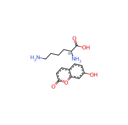 NCCCC[C@H](N)C(=O)O.O=c1ccc2ccc(O)cc2o1